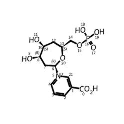 O=C(O)c1ccc[n+]([C@H]2C[C@@H](O)[C@@H](O)C[C@@H](COP(=O)(O)O)O2)c1